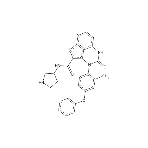 Cc1cc(Oc2ccccc2)ccc1N1C(=O)Nc2ccnc3sc(C(=O)NC4CCNC4)c1c23